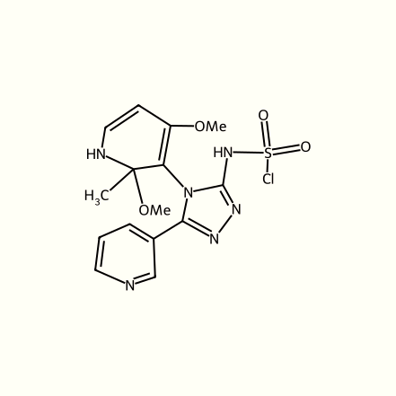 COC1=C(n2c(NS(=O)(=O)Cl)nnc2-c2cccnc2)C(C)(OC)NC=C1